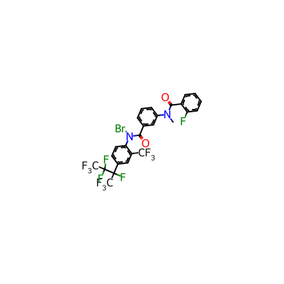 CN(C(=O)c1ccccc1F)c1cccc(C(=O)N(Br)c2ccc(C(F)(C(F)(F)F)C(F)(F)C(F)(F)F)cc2C(F)(F)F)c1